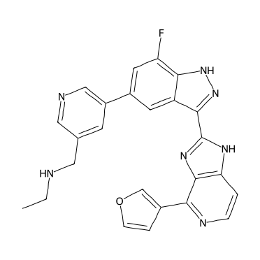 CCNCc1cncc(-c2cc(F)c3[nH]nc(-c4nc5c(-c6ccoc6)nccc5[nH]4)c3c2)c1